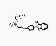 CN(CCOc1ccc(-n2nc3ccccc3c2Cl)cc1)CCC(=O)O